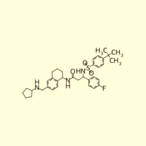 CC(C)(C)c1ccc(S(=O)(=O)NC(CC(=O)NC2CCCc3cc(CNC4CCCC4)ccc32)c2ccc(F)cc2)cc1